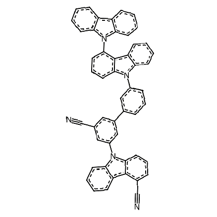 N#Cc1cc(-c2cccc(-n3c4ccccc4c4c(-n5c6ccccc6c6ccccc65)cccc43)c2)cc(-n2c3ccccc3c3c(C#N)cccc32)c1